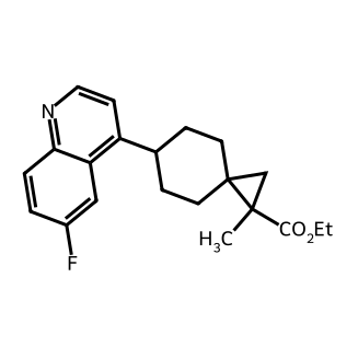 CCOC(=O)C1(C)CC12CCC(c1ccnc3ccc(F)cc13)CC2